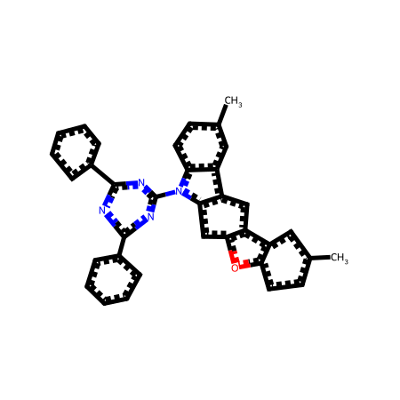 Cc1ccc2oc3cc4c(cc3c2c1)c1cc(C)ccc1n4-c1nc(-c2ccccc2)nc(-c2ccccc2)n1